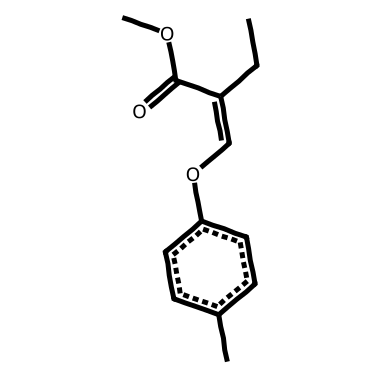 CCC(=COc1ccc(C)cc1)C(=O)OC